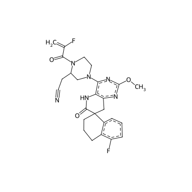 C=C(F)C(=O)N1CCN(c2nc(OC)nc3c2NC(=O)C2(CCCc4c(F)cccc42)C3)CC1CC#N